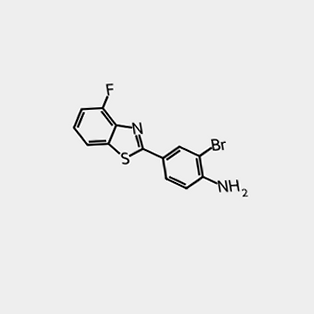 Nc1ccc(-c2nc3c(F)cccc3s2)cc1Br